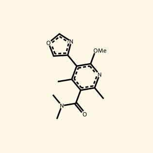 COc1nc(C)c(C(=O)N(C)C)c(C)c1-c1cocn1